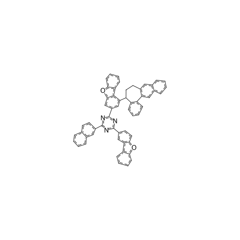 c1ccc2c(c1)-c1cc3ccccc3cc1CCC2c1cc(-c2nc(-c3ccc4ccccc4c3)nc(-c3ccc4oc5ccccc5c4c3)n2)cc2oc3ccccc3c12